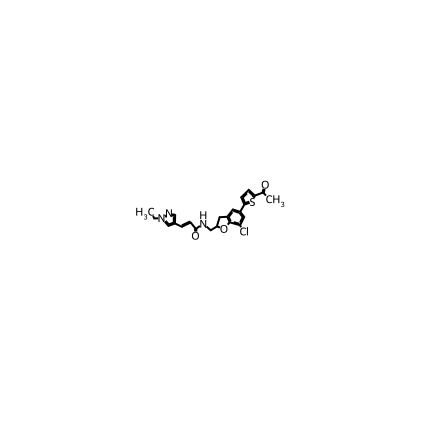 CCn1cc(/C=C/C(=O)NCC2Cc3cc(-c4ccc(C(C)=O)s4)cc(Cl)c3O2)cn1